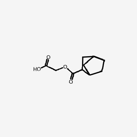 O=C(O)COC(=O)C1CC2CCC1C2